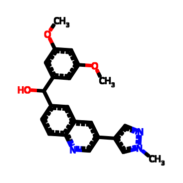 COc1cc(OC)cc(C(O)c2ccc3ncc(-c4cnn(C)c4)cc3c2)c1